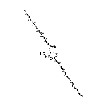 C#CC#CC#CC#CC#CC#CC#CC(=O)O[C@@H](CO)COC(=O)C#CC#CC#CC#CC#CC#CC